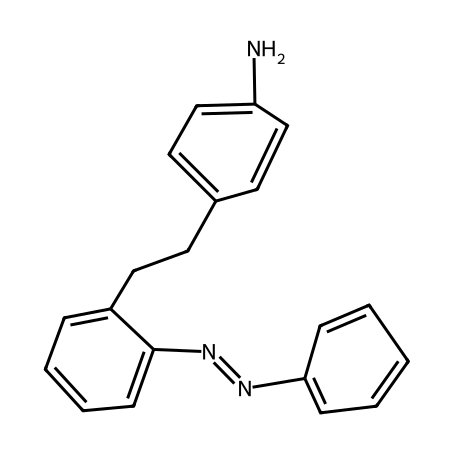 Nc1ccc(CCc2ccccc2N=Nc2ccccc2)cc1